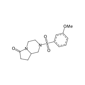 COc1cccc(S(=O)(=O)N2CCN3C(=O)CCC3C2)c1